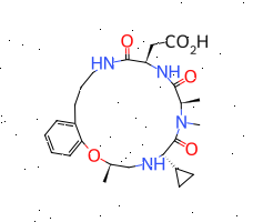 C[C@@H]1CN[C@@H](C2CC2)C(=O)N(C)[C@H](C)C(=O)N[C@H](CC(=O)O)C(=O)NCCCc2ccccc2O1